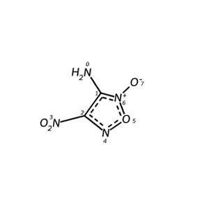 Nc1c([N+](=O)[O-])no[n+]1[O-]